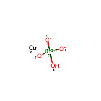 [Cu].[O-][Br+3]([O-])([O-])O